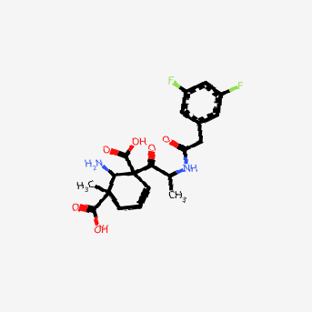 CC(NC(=O)Cc1cc(F)cc(F)c1)C(=O)C1(C(=O)O)C=CCC(C)(C(=O)O)C1N